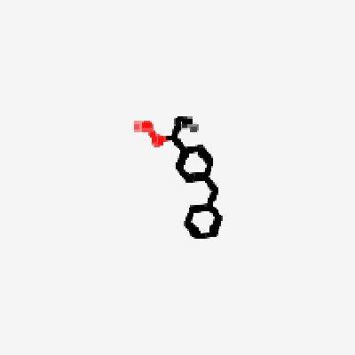 CC(OO)c1ccc(Cc2ccccc2)cc1